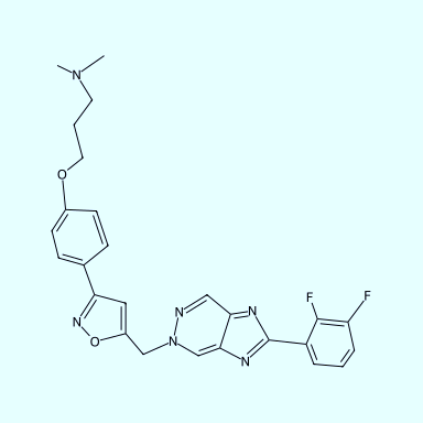 CN(C)CCCOc1ccc(-c2cc(Cn3cc4nc(-c5cccc(F)c5F)nc-4cn3)on2)cc1